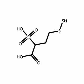 O=C(O)C(CCSS)S(=O)(=O)O